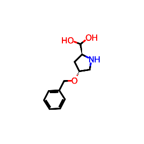 OC(O)[C@@H]1C[C@@H](OCc2ccccc2)CN1